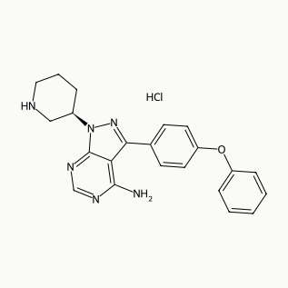 Cl.Nc1ncnc2c1c(-c1ccc(Oc3ccccc3)cc1)nn2[C@@H]1CCCNC1